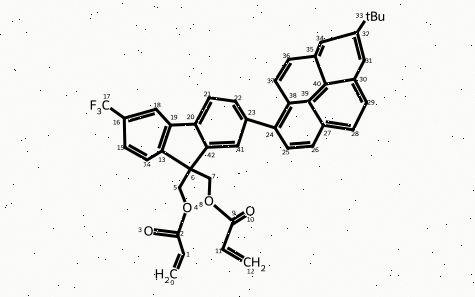 C=CC(=O)OCC1(COC(=O)C=C)c2ccc(C(F)(F)F)cc2-c2ccc(-c3ccc4ccc5cc(C(C)(C)C)cc6ccc3c4c56)cc21